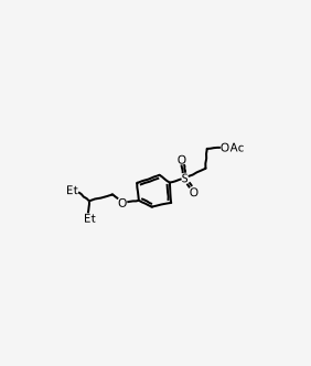 CCC(CC)COc1ccc(S(=O)(=O)CCOC(C)=O)cc1